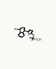 CCOC(=O)C(C)(C)Sc1ccc(-c2ccc(C(C)C)c3ccccc23)s1